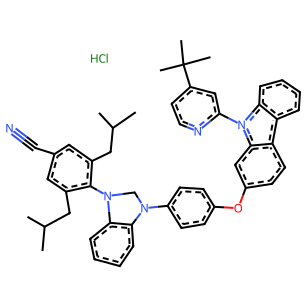 CC(C)Cc1cc(C#N)cc(CC(C)C)c1N1CN(c2ccc(Oc3ccc4c5ccccc5n(-c5cc(C(C)(C)C)ccn5)c4c3)cc2)c2ccccc21.Cl